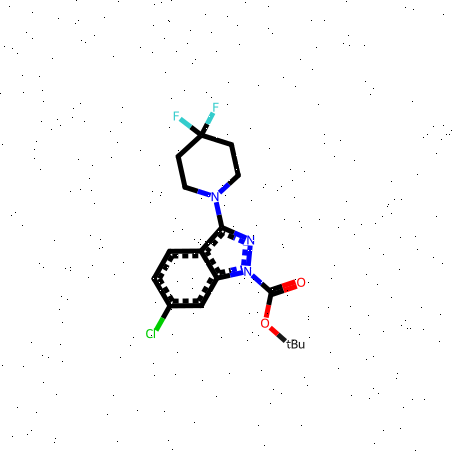 CC(C)(C)OC(=O)n1nc(N2CCC(F)(F)CC2)c2ccc(Cl)cc21